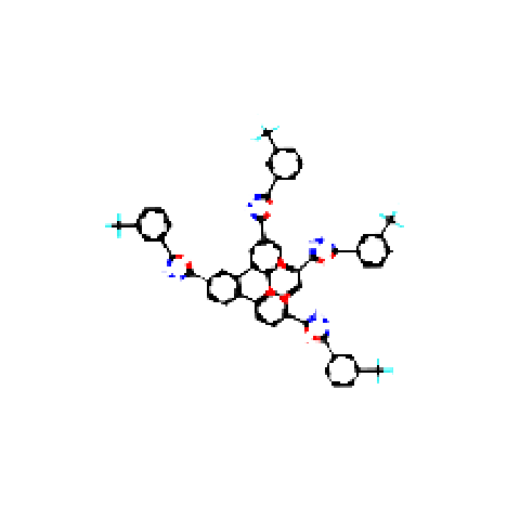 C=C(/C=C\C(=C/C)c1nnc(-c2cccc(C(F)(F)F)c2)o1)c1ccc(-c2nnc(-c3cccc(C(F)(F)F)c3)o2)cc1-c1cc(-c2nnc(-c3cccc(C(F)(F)F)c3)o2)ccc1-c1ccc(-c2nnc(-c3cccc(C(F)(F)F)c3)o2)cc1